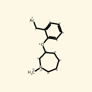 CC(=O)Cc1ccccc1OC1CCCCN(C)C1